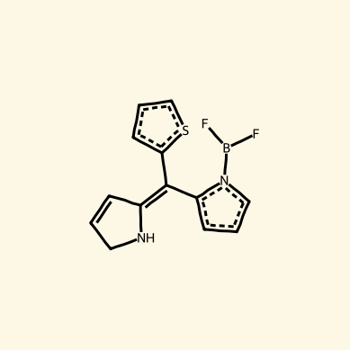 FB(F)n1cccc1/C(=C1/C=CCN1)c1cccs1